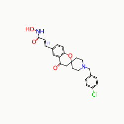 O=C(/C=C/c1ccc2c(c1)C(=O)CC1(CCN(Cc3ccc(Cl)cc3)CC1)O2)NO